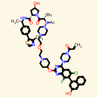 C=CC(=O)N1CCN(c2nc(OC3CCN(CCOCCN4CCN(N(C(C)=O)[C@H](C(=O)N5C[C@H](O)C[C@H]5C(=O)N[C@@H](C)c5ccc(-c6scnc6C)cc5)C(C)(C)C)CC4)CC3)nc3c(F)c(-c4cc(O)cc5ccccc45)c(Cl)cc23)CC1